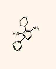 Nc1ccc(-c2ccccc2)c(N)c1C1CCCCC1